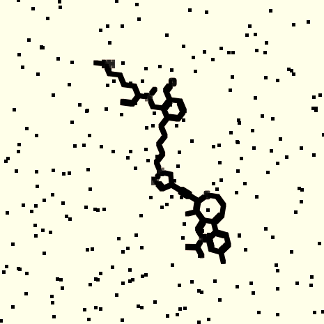 C=CC(CCCCNC)N(C)Cc1c(C=O)cccc1CCCCCN1CC(C#C/C2=C(C)/C(=C/NC(=C)C)C(/c3ccc(C)cc3)=C\CCS2)C=N1